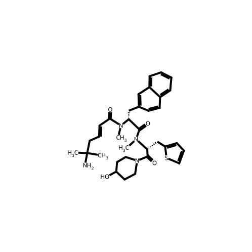 CN(C(=O)/C=C/CC(C)(C)N)[C@H](Cc1ccc2ccccc2c1)C(=O)N(C)[C@H](Cc1cccs1)C(=O)N1CCC(O)CC1